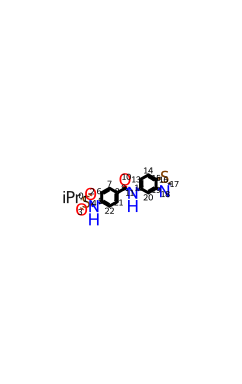 CC(C)S(=O)(=O)Nc1ccc(C(=O)Nc2ccc3scnc3c2)cc1